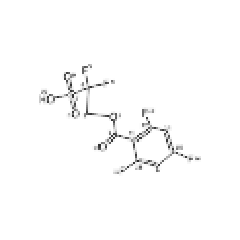 O=C(OCC(F)(F)S(=O)(=O)O)c1c(F)cc(F)cc1F